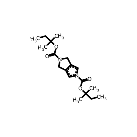 CCC(C)(C)OC(=O)N1Cc2cn(C(=O)OC(C)(C)CC)cc2C1